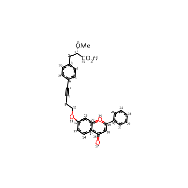 CO[C@@H](Cc1ccc(C#CCCOc2ccc3c(=O)cc(-c4ccccc4)oc3c2)cc1)C(=O)O